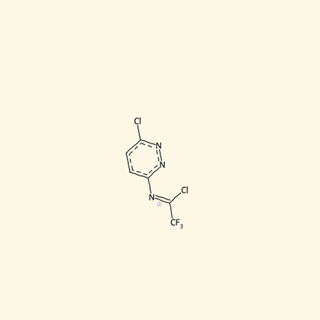 FC(F)(F)/C(Cl)=N/c1ccc(Cl)nn1